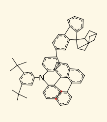 CC(C)(C)c1cc(N(c2ccc(-c3ccc4c(c3)C3(c5ccccc5-4)C4CC5CC(C4)C3C5)cc2)c2ccccc2-c2cccc3cccc(-c4ccccc4)c23)cc(C(C)(C)C)c1